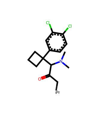 CC(C)CC(=O)C(N(C)C)C1(c2ccc(Cl)c(Cl)c2)CCC1